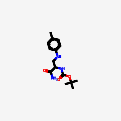 Cc1ccc(NCC(NC(=O)OC(C)(C)C)C(N)=O)cc1